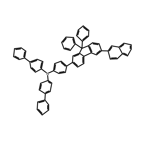 c1ccc(-c2ccc(N(c3ccc(-c4ccccc4)cc3)c3ccc(-c4ccc5c(c4)C(c4ccccc4)(c4ccccc4)c4ccc(-c6ccc7ccccc7c6)cc4-5)cc3)cc2)cc1